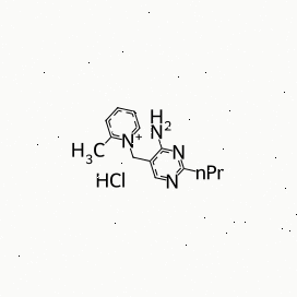 CCCc1ncc(C[n+]2ccccc2C)c(N)n1.Cl